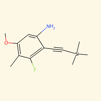 COc1cc(N)c(C#C[Si](C)(C)C)c(F)c1C